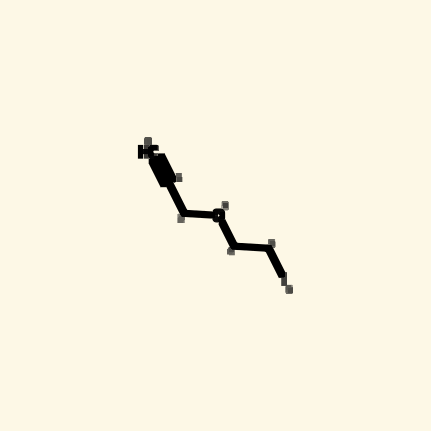 C#CCOCCI